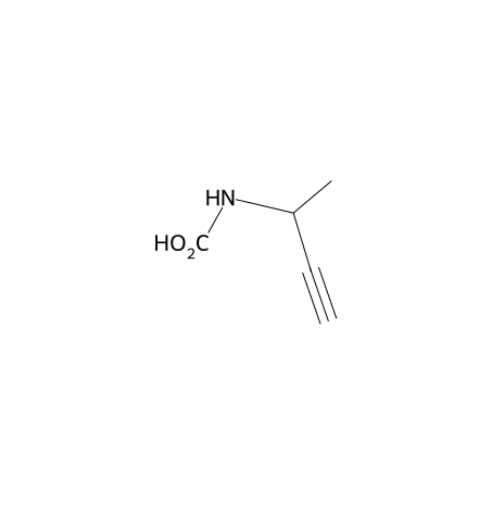 C#CC(C)NC(=O)O